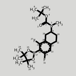 CN(C(=O)OC(C)(C)C)C1CCc2cc(F)c(B3OC(C)(C)C(C)(C)O3)c(F)c2C1